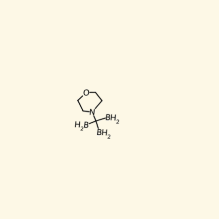 BC(B)(B)N1CCOCC1